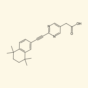 CC1(C)CCC(C)(C)c2cc(C#Cc3ncc(CC(=O)O)cn3)ccc21